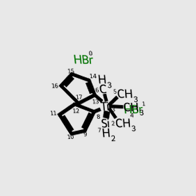 Br.Br.[CH3][Ti]([CH3])([CH3])([CH3])(=[SiH2])([C]1=CC=CC1)[C]1=CC=CC1